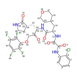 O=C(Nc1ccccc1Cl)C(=O)NC(CC1CCOCC1)C(=O)N[C@@H](C[C@@H]1CCNC1=O)C(=O)COc1c(F)c(F)cc(F)c1F